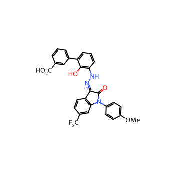 COc1ccc(N2C(=O)/C(=N\Nc3cccc(-c4cccc(C(=O)O)c4)c3O)c3ccc(C(F)(F)F)cc32)cc1